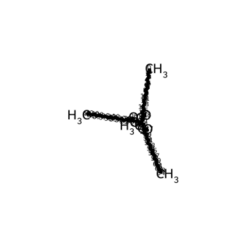 CCCCCCCCC=CCCCCCCCC(=O)OCC(C)(COC(=O)CCCCCCCC=CCCCCCCCC)COC(=O)CCCCCCCC=CCCCCCCCC